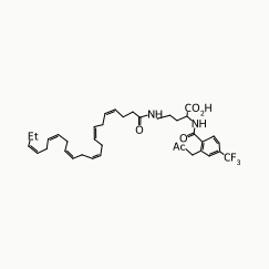 CC/C=C\C/C=C\C/C=C\C/C=C\C/C=C\C/C=C\CCC(=O)NCCCC(NC(=O)c1ccc(C(F)(F)F)cc1CC(C)=O)C(=O)O